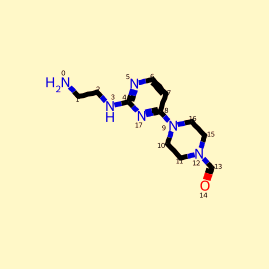 NCCNc1nccc(N2CCN(C=O)CC2)n1